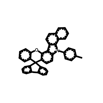 Cc1ccc(-n2c3ccc4c(c3c3ccc5ccccc5c32)Oc2ccccc2C42c3ccccc3-c3ccccc32)cc1